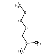 CSSCCC(C)C